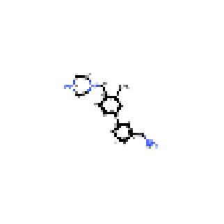 Cc1cc(-c2cccc(CN)c2)ccc1CN1CCNCC1